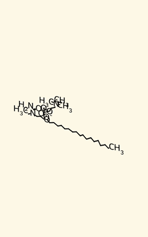 CCCCCCCCCCCCCCCCCCOCC(CN(CC)C(N)=O)OP(=O)([O-])OCC[N+](C)(C)C